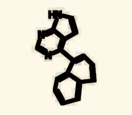 c1ccc2c(-c3ncnc4[nH]ccc34)cccc2c1